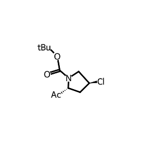 CC(=O)[C@H]1C[C@H](Cl)CN1C(=O)OC(C)(C)C